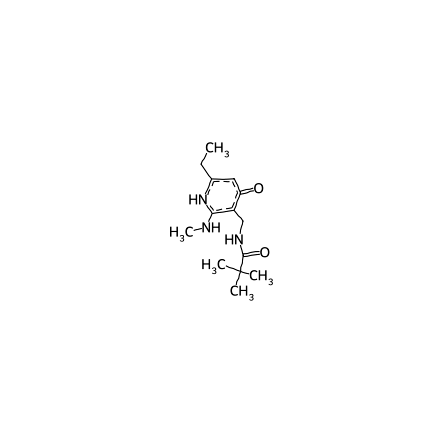 CCc1cc(=O)c(CNC(=O)C(C)(C)C)c(NC)[nH]1